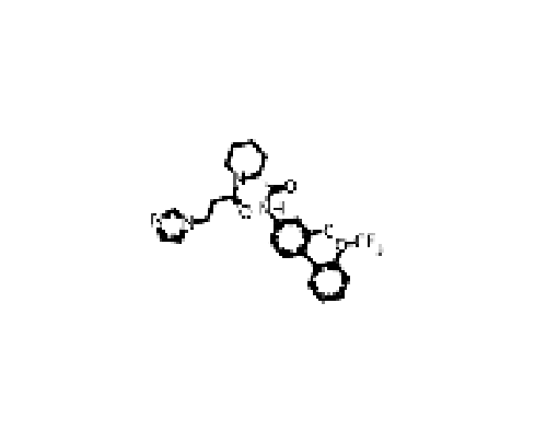 O=C(Nc1ccc(-c2ccccc2OC(F)(F)F)c(Cl)c1)[C@H]1CCCCN1C(=O)CCn1ccnc1